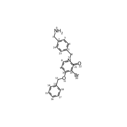 NCc1ccc(Cn2ccc(OCc3ccccc3)c(Br)c2=O)cc1